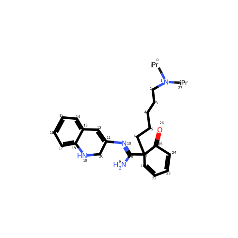 CC(C)N(CCCCCC1(C(N)=NC2=Cc3ccccc3NC2)C=CC=CC1=O)C(C)C